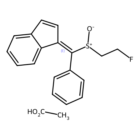 CC(=O)O.[O-][S+](CCF)/C(=C1\C=Cc2ccccc21)c1ccccc1